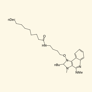 CCCCCCCCCCCCCCCCCC(=O)NCCCCON1c2c(c(NC)nc3ccccc23)N(C)C1CCCC